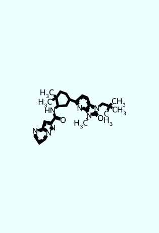 Cn1c(=O)n(CC(C)(C)C)c2ccc(C3CCC(C)(C)C(NC(=O)c4cc5ncccn5n4)C3)nc21